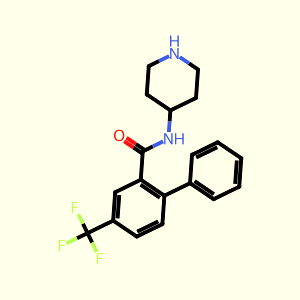 O=C(NC1CCNCC1)c1cc(C(F)(F)F)ccc1-c1ccccc1